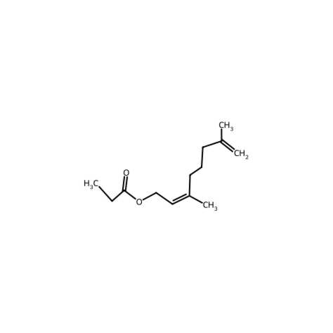 C=C(C)CCC/C(C)=C\COC(=O)CC